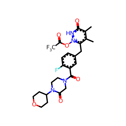 Cc1c(C)c(=O)[nH][n+](OC(=O)C(F)(F)F)c1Cc1ccc(F)c(C(=O)N2CCN(C3CCOCC3)C(=O)C2)c1